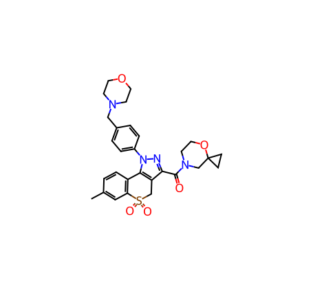 Cc1ccc2c(c1)S(=O)(=O)Cc1c(C(=O)N3CCOC4(CC4)C3)nn(-c3ccc(CN4CCOCC4)cc3)c1-2